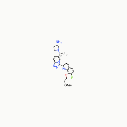 COCCOc1c(F)ccc2ccc(-c3nnc4ccc([C@@H](N5CCC(N)C5)C(F)(F)F)cn34)nc12